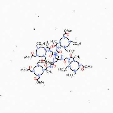 COC(=O)CN1CCN(CC(=O)O)CCN(C(C)C(=O)NCC(=O)NCC(CNC(=O)CNC(=O)C(C)N2CCN(CC(=O)O)CCN(CC(=O)O)CCN(CC(=O)OC)CC2)(CNC(=O)CNC(=O)C(C)N2CCN(CC(=O)O)CCN(CC(=O)O)CCN(CC(=O)OC)CC2)CNC(=O)CNC(=O)C(C)N2CCN(CC(=O)O)CCN(CC(=O)OC)CCN(CC(=O)OC)CC2)CCN(CC(=O)OC)CC1